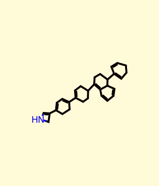 C1=CC2=C(C3CC=C(C4=CC=C(C5=CNC5)CC4)CC3)CCC(C3=CCCC=C3)C2C=C1